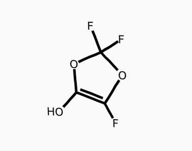 OC1=C(F)OC(F)(F)O1